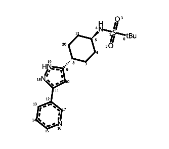 CC(C)(C)S(=O)(=O)N[C@H]1CC[C@H](c2cc(-c3cccnc3)n[nH]2)CC1